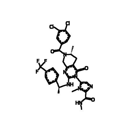 CNC(=O)c1ncc(-n2c(N[C@@H](C)c3ccc(C(F)(F)F)cc3)nc3c(c2=O)C[C@@H](C)N(C(=O)c2ccc(Cl)c(Cl)c2)C3)n1C